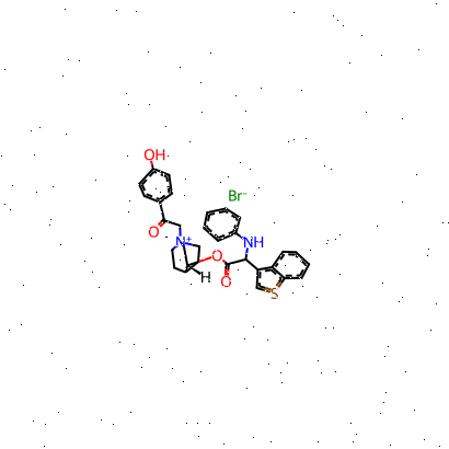 O=C(C[N+]12CCC(CC1)[C@@H](OC(=O)C(Nc1ccccc1)c1csc3ccccc13)C2)c1ccc(O)cc1.[Br-]